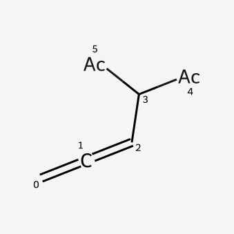 C=C=CC(C(C)=O)C(C)=O